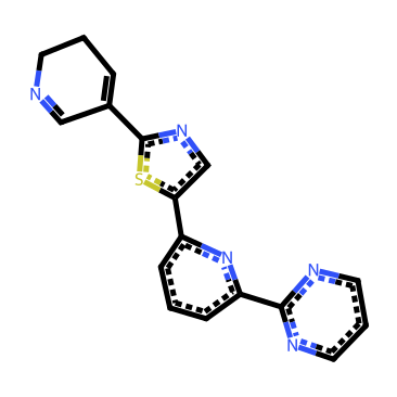 C1=NCCC=C1c1ncc(-c2cccc(-c3ncccn3)n2)s1